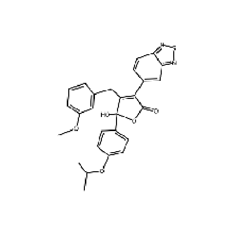 COc1cccc(CC2=C(c3ccc4nsnc4c3)C(=O)OC2(O)c2ccc(OC(C)C)cc2)c1